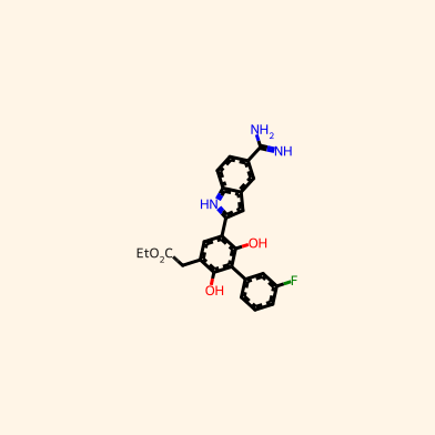 CCOC(=O)Cc1cc(-c2cc3cc(C(=N)N)ccc3[nH]2)c(O)c(-c2cccc(F)c2)c1O